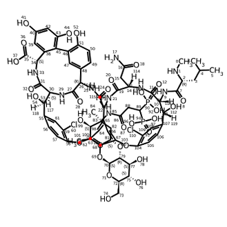 CN[C@H](CC(C)C)C(=O)N[C@H]1C(=O)N[C@@H](CC(N)=O)C(=O)N[C@H]2C(=O)N[C@H]3C(=O)N[C@H](C(=O)N[C@H](C(=O)O)c4cc(O)cc(O)c4-c4cc3ccc4O)[C@H](O)c3ccc(c(Cl)c3)Oc3cc2cc(c3O[C@@H]2O[C@H](CO)[C@@H](O)[C@H](O)[C@H]2O[C@H]2C[C@](C)(NC(=O)CC(P(=O)(O)O)P(=O)(O)O)[C@H](O)[C@H](C)O2)Oc2ccc(cc2Cl)[C@H]1O